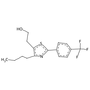 CCCCc1nc(-c2ccc(C(F)(F)F)cc2)sc1CCO